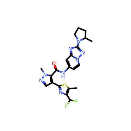 Cc1sc(-c2cnn(C)c2C(=O)Nc2ccn3nc(N4CCCC4C)nc3c2)nc1C(F)F